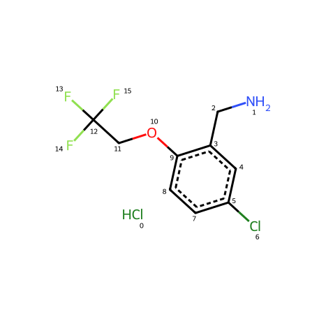 Cl.NCc1cc(Cl)ccc1OCC(F)(F)F